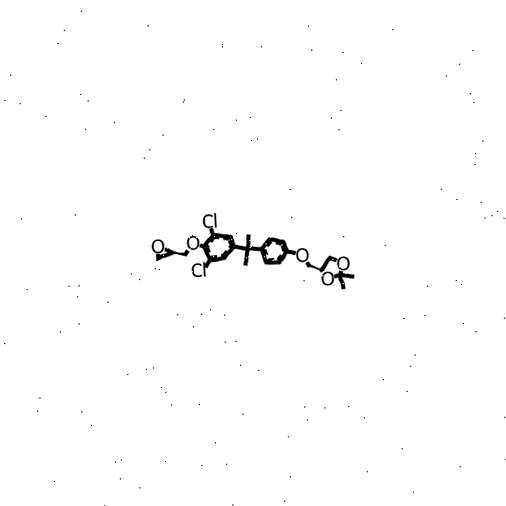 CC1(C)OC[C@H](COc2ccc(C(C)(C)c3cc(Cl)c(OC[C@H]4CO4)c(Cl)c3)cc2)O1